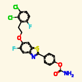 NC(=O)Oc1ccc(-c2nc3cc(F)c(OCCc4c(F)ccc(Cl)c4Cl)cc3s2)cc1